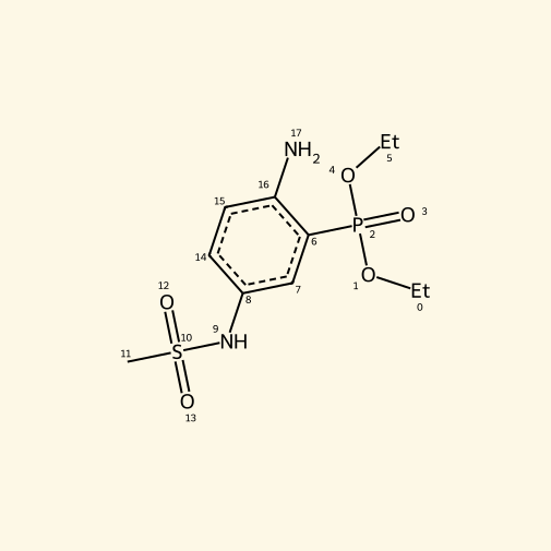 CCOP(=O)(OCC)c1cc(NS(C)(=O)=O)ccc1N